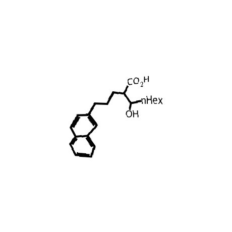 CCCCCCC(O)C(CCCc1ccc2ccccc2c1)C(=O)O